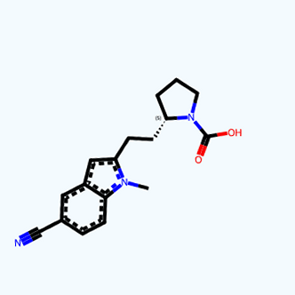 Cn1c(CC[C@@H]2CCCN2C(=O)O)cc2cc(C#N)ccc21